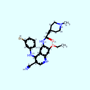 CCOc1cc2ncc(C#N)c(Nc3cccc(Br)c3)c2cc1NC(=O)C=C1CCN(C)CC1